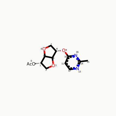 CC(=O)O[C@H]1COC2C1OC[C@@H]2Oc1ccnc(C)n1